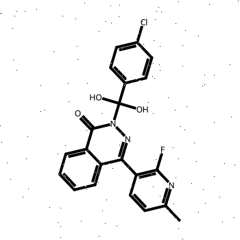 Cc1ccc(-c2nn(C(O)(O)c3ccc(Cl)cc3)c(=O)c3ccccc23)c(F)n1